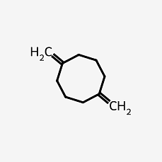 C=C1CCCC(=C)CCC1